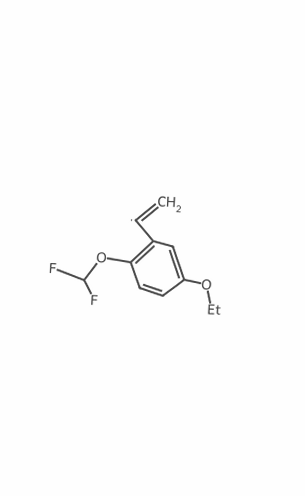 C=[C]c1cc(OCC)ccc1OC(F)F